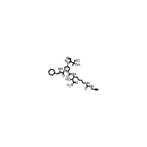 C#CCNC(=O)NCCCCC(NC(=O)[C@@H]1C[C@H](n2nncc2C(C)(C)O)CN1C(=O)[C@H](N)CC1CCCCC1)C(O)C(N)=O.Cl